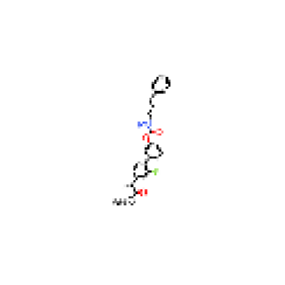 COC(=O)C(C)c1ccc(-c2cccc(OC(=O)NCCCCc3ccccc3)c2)c(F)c1